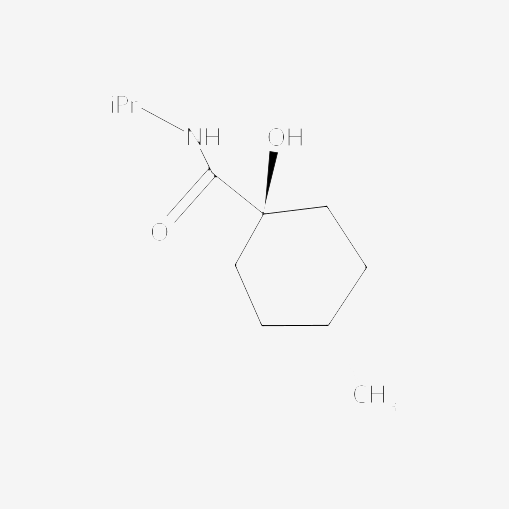 CC(C)NC(=O)[C@]1(O)CC[C@H](C)CC1